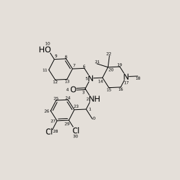 CC(NC(=O)N(CC1=CC(O)CCC1)C1CCN(C)CC1(C)C)c1cccc(Cl)c1Cl